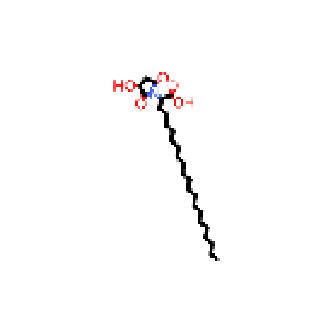 CCCCCCCCCCCCCCCCCCCCC(C(=O)O)N1C(=O)CC(O)C1=O